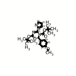 COc1ccc(CN(C(=O)OC(C)(C)C)/C(=N\C(=O)OC(C)(C)C)n2cccn2)cc1